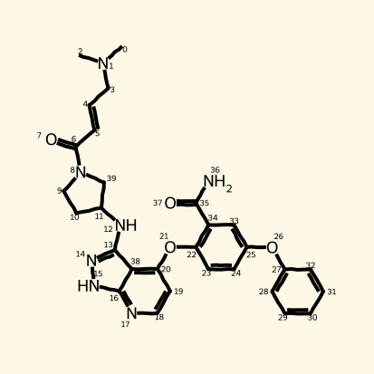 CN(C)C/C=C/C(=O)N1CCC(Nc2n[nH]c3nccc(Oc4ccc(Oc5ccccc5)cc4C(N)=O)c23)C1